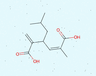 C=C(C(=O)O)C(C=C(C)C(=O)O)CC(C)C